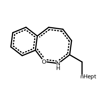 CCCCCCCCc1cccc2ccccc2o[nH]1